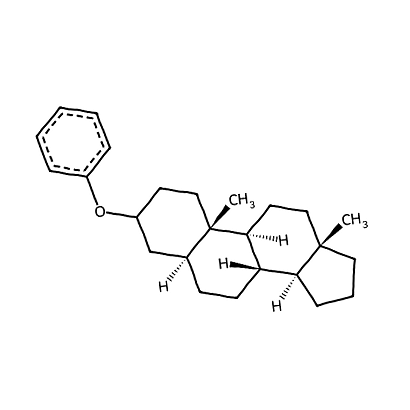 C[C@@]12CCC[C@H]1[C@@H]1CC[C@H]3CC(Oc4ccccc4)CC[C@]3(C)[C@H]1CC2